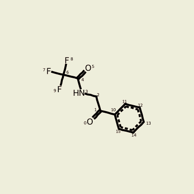 O=C(CNC(=O)C(F)(F)F)c1ccccc1